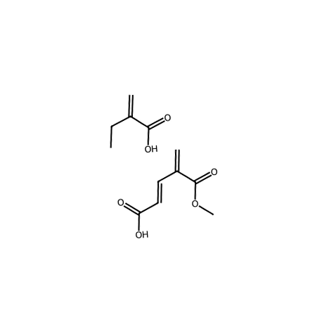 C=C(C=CC(=O)O)C(=O)OC.C=C(CC)C(=O)O